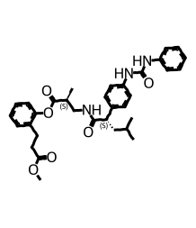 COC(=O)CCc1ccccc1OC(=O)[C@@H](C)CNC(=O)[C@@H](CC(C)C)c1ccc(NC(=O)Nc2ccccc2)cc1